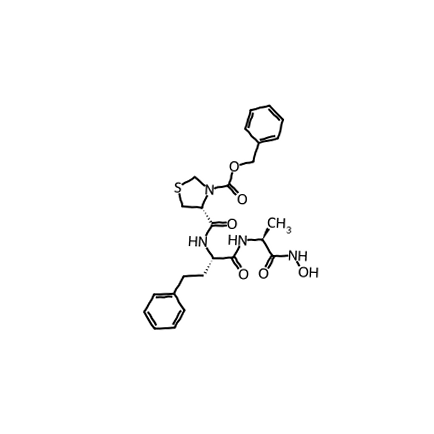 C[C@H](NC(=O)[C@H](CCc1ccccc1)NC(=O)[C@@H]1CSCN1C(=O)OCc1ccccc1)C(=O)NO